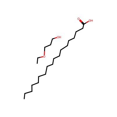 CCCCCCCCCCCCCCCCCC(=O)O.CCOCCCO